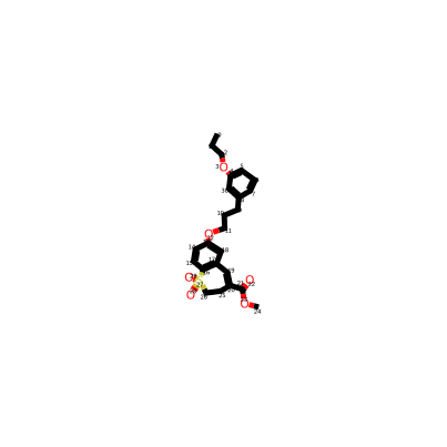 CCCOc1cccc(CCCOc2ccc3c(c2)C=C(C(=O)OC)CCS3(=O)=O)c1